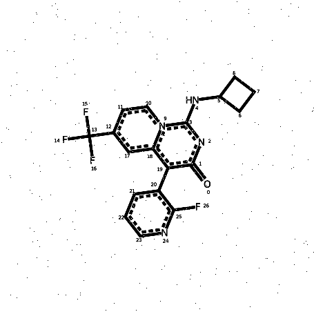 O=c1nc(NC2CCC2)n2ccc(C(F)(F)F)cc2c1-c1cccnc1F